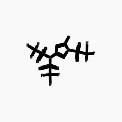 Cc1cc(N(S(=O)(=O)C(F)(F)F)S(=O)(=O)C(F)(F)F)nn1S(=O)(=O)C(F)(F)F